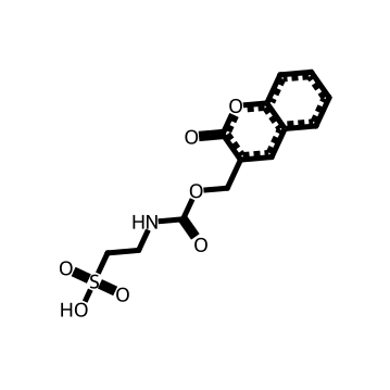 O=C(NCCS(=O)(=O)O)OCc1cc2ccccc2oc1=O